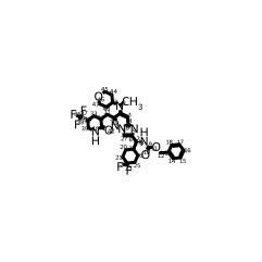 CN(c1cc2nc([C@@H](NC(=O)OCc3ccccc3)C3CCC(F)(F)CC3)cn2nc1CC1C[C@@H](C(F)(F)F)CNC1=O)C1CCOCC1